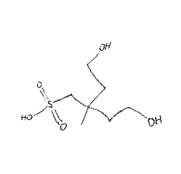 CC(CCO)(CCO)CS(=O)(=O)O